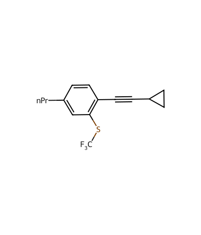 CCCc1ccc(C#CC2CC2)c(SC(F)(F)F)c1